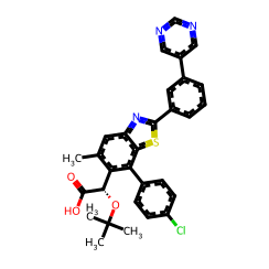 Cc1cc2nc(-c3cccc(-c4cncnc4)c3)sc2c(-c2ccc(Cl)cc2)c1[C@H](OC(C)(C)C)C(=O)O